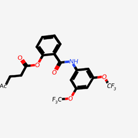 CC(=O)CCC(=O)Oc1ccccc1C(=O)Nc1cc(OC(F)(F)F)cc(OC(F)(F)F)c1